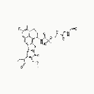 CCC(C=O)c1cc2n(c(=O)c1COC)Cc1c-2nc2cc(F)c(C)c3c2c1C(NC(=O)C(C)(O)OCNC(=O)CNC=O)CC3